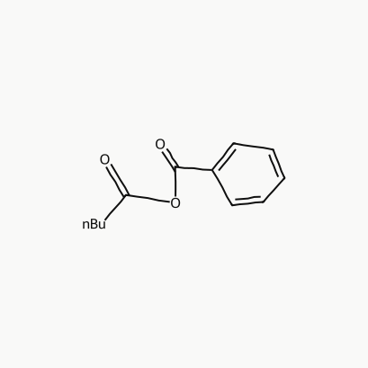 CCCCC(=O)OC(=O)c1ccccc1